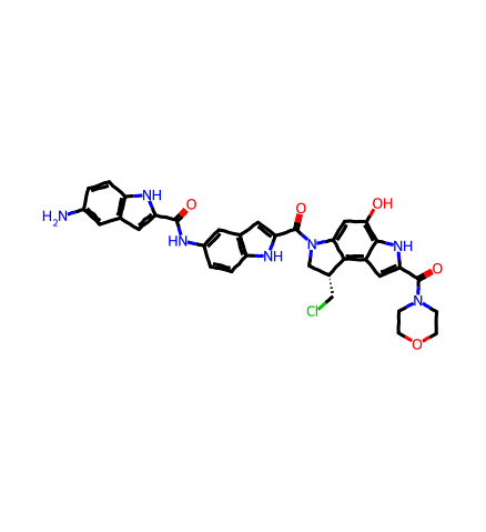 Nc1ccc2[nH]c(C(=O)Nc3ccc4[nH]c(C(=O)N5C[C@@H](CCl)c6c5cc(O)c5[nH]c(C(=O)N7CCOCC7)cc65)cc4c3)cc2c1